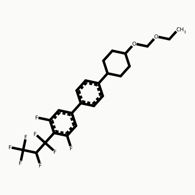 CCOCOC1CCC(c2ccc(-c3cc(F)c(C(F)(F)C(F)C(F)(F)F)c(F)c3)cc2)CC1